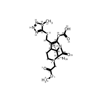 COC(=O)CN1CCC2C(CSc3nnnn3C)=C(OC(=O)O)N3C(=O)[C@@H]1[C@@H]23